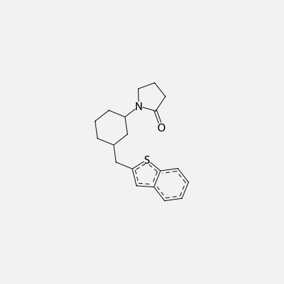 O=C1CCCN1C1CCCC(Cc2cc3ccccc3s2)C1